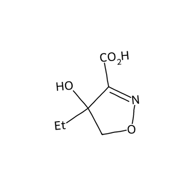 CCC1(O)CON=C1C(=O)O